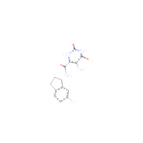 Nc1c(C(=O)N[C@H]2CCc3ccc(Br)cc32)[nH]c(=O)[nH]c1=O